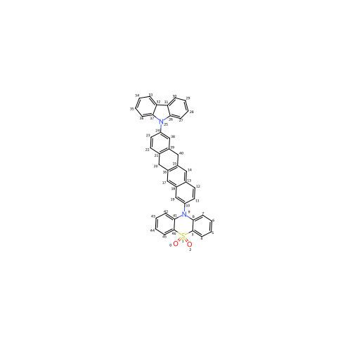 O=S1(=O)c2ccccc2N(c2ccc3cc4c(cc3c2)Cc2ccc(-n3c5ccccc5c5ccccc53)cc2C4)c2ccccc21